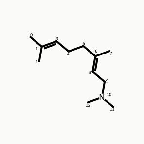 CC(C)=CCCC(C)=CCN(C)C